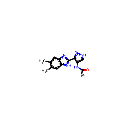 Cc1cc2nc(-c3n[nH]cc3NC(=O)C(C)C)[nH]c2cc1C